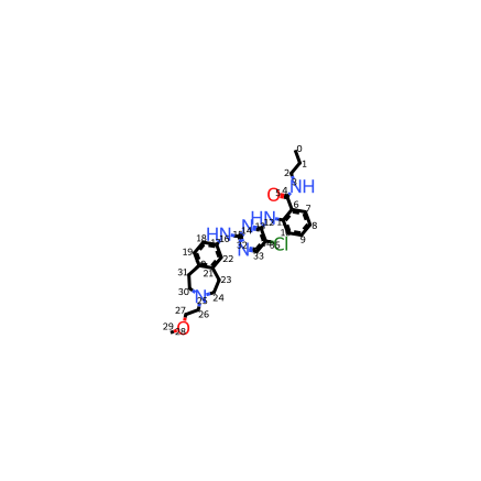 CCCNC(=O)c1ccccc1Nc1nc(Nc2ccc3c(c2)CCN(CCOC)CC3)ncc1Cl